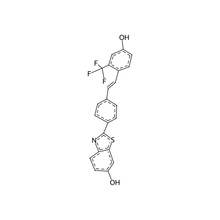 Oc1ccc(C=Cc2ccc(-c3nc4ccc(O)cc4s3)cc2)c(C(F)(F)F)c1